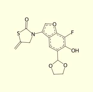 C=C1CN(c2coc3c(F)c(O)c(C4OCCO4)cc23)C(=O)S1